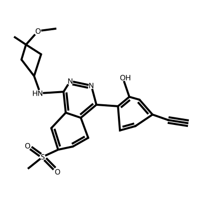 C#Cc1ccc(-c2nnc(NC3CC(C)(OC)C3)c3cc(S(C)(=O)=O)ccc23)c(O)c1